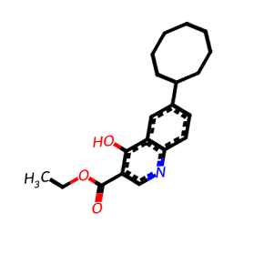 CCOC(=O)c1cnc2ccc(C3CCCCCCC3)cc2c1O